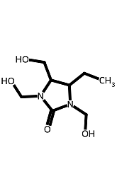 CCC1C(CO)N(CO)C(=O)N1CO